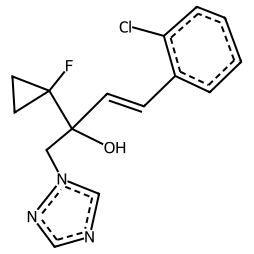 OC(C=Cc1ccccc1Cl)(Cn1cncn1)C1(F)CC1